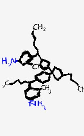 CCCCCC(c1ccc(C2(c3ccc(C(CCCCC)c4ccc(N)cc4C)cc3)CCC(CCCC)CC2)cc1)c1ccc(N)cc1C